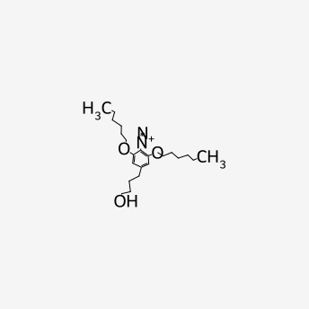 CCCCCCOc1cc(CCCCO)cc(OCCCCCC)c1[N+]#N